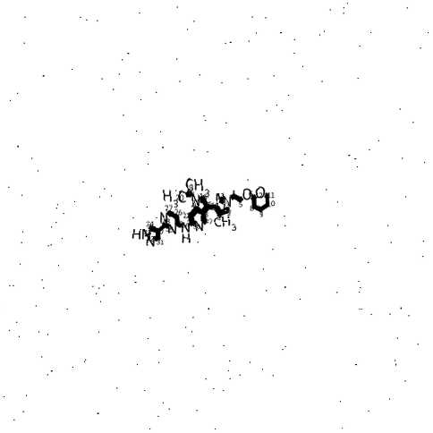 Cc1cn(CCOC2CCCCO2)nc1-c1cn(C(C)C)c2cc(Nc3ccnc(-c4cn[nH]c4)n3)ncc12